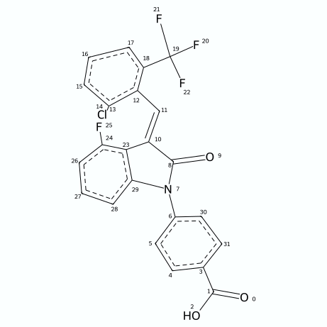 O=C(O)c1ccc(N2C(=O)/C(=C/c3c(Cl)cccc3C(F)(F)F)c3c(F)cccc32)cc1